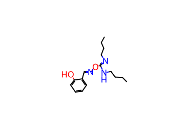 CCCC/N=C(/NCCCC)O/N=C/c1ccccc1O